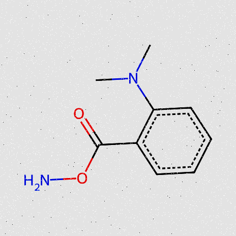 CN(C)c1ccccc1C(=O)ON